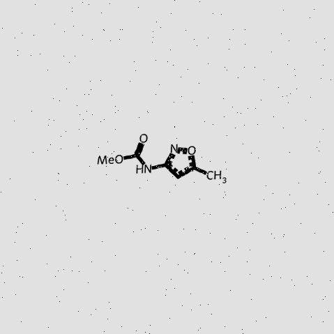 COC(=O)Nc1cc(C)on1